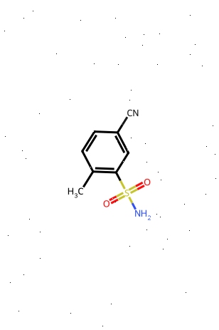 Cc1ccc(C#N)cc1S(N)(=O)=O